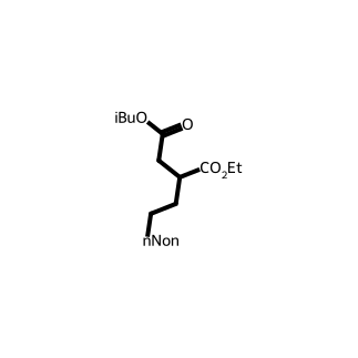 CCCCCCCCCCCC(CC(=O)OCC(C)C)C(=O)OCC